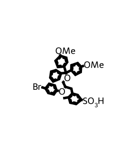 COc1ccc(C(OCC(Cc2cc(S(=O)(=O)O)ccc2C)Oc2ccc(Br)cc2)(c2ccccc2)c2ccc(OC)cc2)cc1